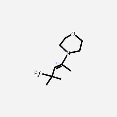 C/C(=C\C(C)(C)C(F)(F)F)N1CCOCC1